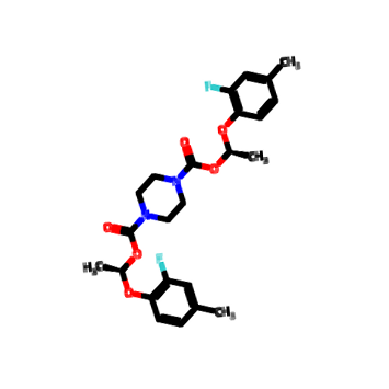 Cc1ccc(O[C@@H](C)OC(=O)N2CCN(C(=O)O[C@H](C)Oc3ccc(C)cc3F)CC2)c(F)c1